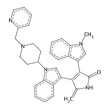 C=C1NC(=O)C(c2cn(C)c3ccccc23)=C1c1cn(C2CCN(Cc3ccccn3)CC2)c2ccccc12